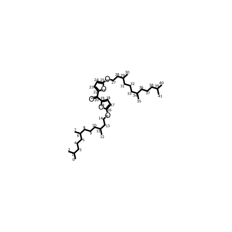 CC(C)CCCC(C)CCCC(C)CCOc1ccc(C(=O)c2ccc(OCCC(C)CCCC(C)CCCC(C)C)o2)o1